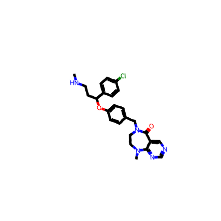 CNCCC(Oc1ccc(CN2CCN(C)c3ncncc3C2=O)cc1)c1ccc(Cl)cc1